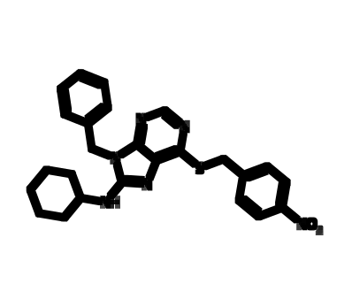 O=[N+]([O-])c1ccc(CSc2ncnc3c2nc(NC2CCCCC2)n3Cc2ccccc2)cc1